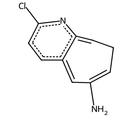 NC1=CCC=c2nc(Cl)ccc2=C1